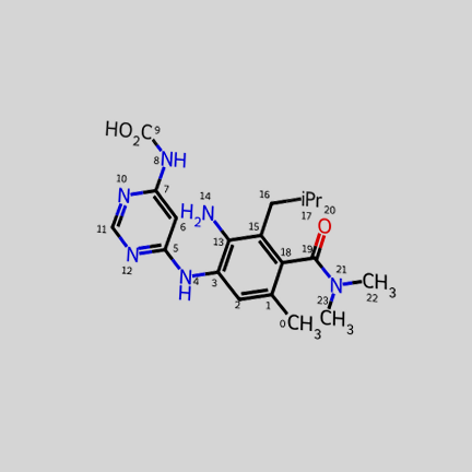 Cc1cc(Nc2cc(NC(=O)O)ncn2)c(N)c(CC(C)C)c1C(=O)N(C)C